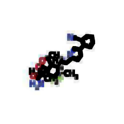 C[C@H]1OC(=O)C2(C(C)(C)C(N)=O)CC(F)(F)[C@@H](C)[C@H](/C=C/c3ccc(-c4ccccc4C#N)cn3)[C@H]12